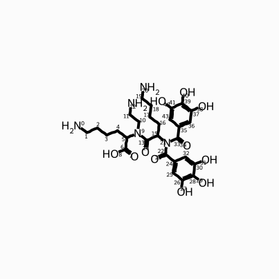 NCCCCC(C(=O)O)N(CCN)C(=O)C(CCCCN)N(C(=O)c1cc(O)c(O)c(O)c1)C(=O)c1cc(O)c(O)c(O)c1